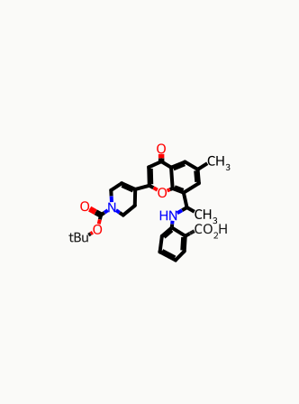 Cc1cc(C(C)Nc2ccccc2C(=O)O)c2oc(C3=CCN(C(=O)OC(C)(C)C)CC3)cc(=O)c2c1